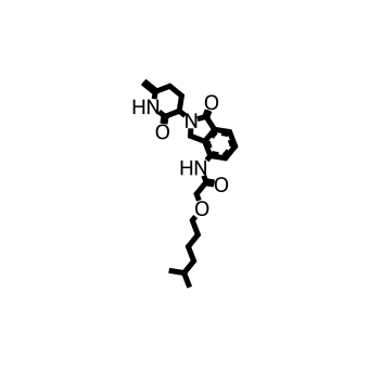 C=C1CCC(N2Cc3c(NC(=O)COCCCCC(C)C)cccc3C2=O)C(=O)N1